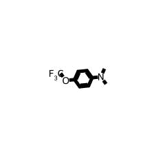 CN(C)c1ccc(OC(F)(F)F)cc1